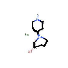 Cl.O[C@H]1CCN(C2CCNCC2)C1